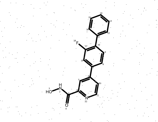 O=C(NO)c1cc(-c2ccc(-c3ccccc3)c(F)c2)ccn1